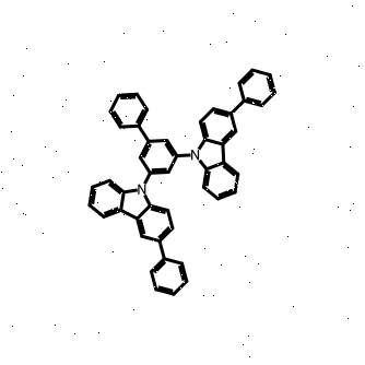 c1ccc(-c2cc(-n3c4ccccc4c4cc(-c5ccccc5)ccc43)cc(-n3c4ccccc4c4cc(-c5ccccc5)ccc43)c2)cc1